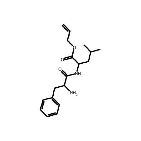 C=CCOC(=O)C(CC(C)C)NC(=O)C(N)Cc1ccccc1